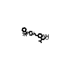 CC(C)c1cc(=O)[nH]c2ccc(CCN3CCN(c4nsc5ccccc45)CC3)cc12